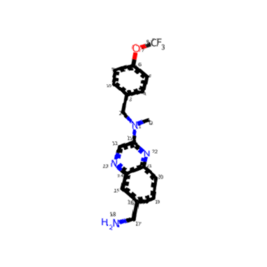 CN(Cc1ccc(OC(F)(F)F)cc1)c1cnc2cc(CN)ccc2n1